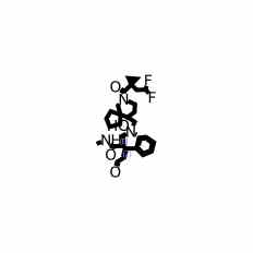 CNC(=O)C(=C/N(C)CC1(O)CCN(C(=O)C2(CC(F)F)CC2)CC12CCCC2)/C(=C\C=O)c1ccccc1